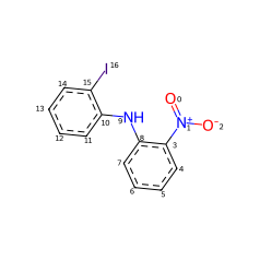 O=[N+]([O-])c1ccccc1Nc1ccccc1I